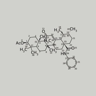 CC(=O)O[C@H]1CC[C@@]2(C)C(CC[C@]3(C)C2C(=O)C=C2C4[C@@H](C)[C@H](C)CC[C@]4(C(=O)Nc4ccccc4)CC[C@]23C)C1(C)C